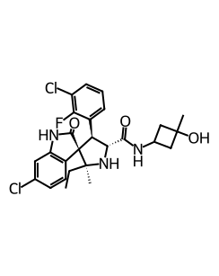 CC[C@]1(C)N[C@@H](C(=O)NC2CC(C)(O)C2)[C@H](c2cccc(Cl)c2F)[C@]12C(=O)Nc1cc(Cl)ccc12